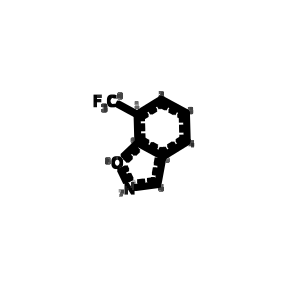 FC(F)(F)c1cccc2cnoc12